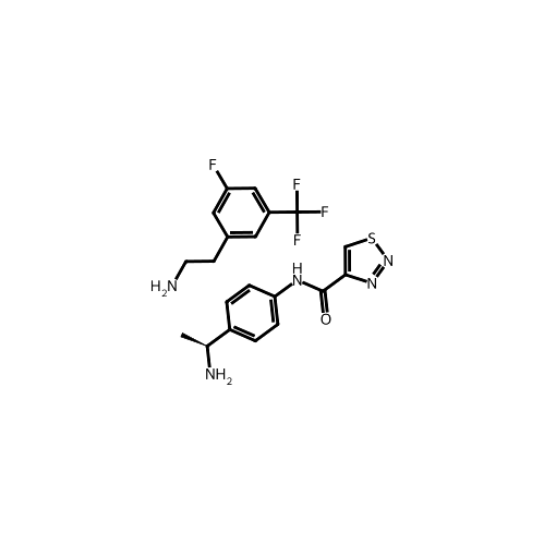 C[C@H](N)c1ccc(NC(=O)c2csnn2)cc1.NCCc1cc(F)cc(C(F)(F)F)c1